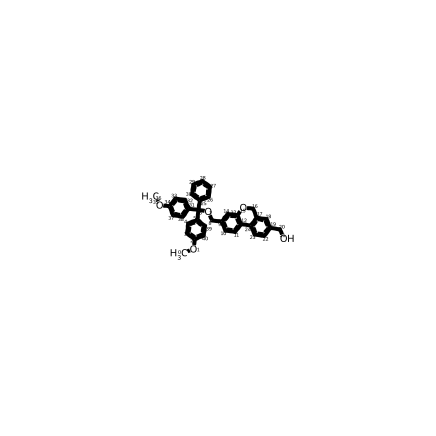 COc1ccc(C(OCc2ccc3c(c2)OCc2cc(CO)ccc2-3)(c2ccccc2)c2ccc(OC)cc2)cc1